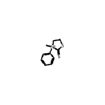 C[N+]1(c2ccccc2)CCSC1=S